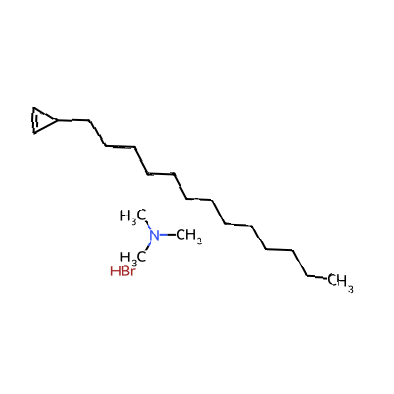 Br.CCCCCCCCCCCCCC1C=C1.CN(C)C